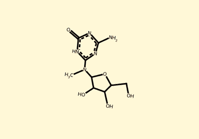 CN(c1nc(N)nc(=O)[nH]1)C1OC(CO)C(O)C1O